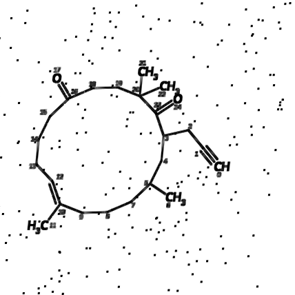 C#CCC1CC(C)CCC/C(C)=C/CCCC(=O)CCC(C)(C)C1=O